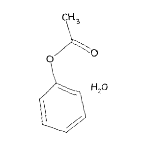 CC(=O)Oc1ccccc1.O